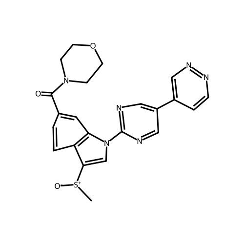 C[S+]([O-])c1cn(-c2ncc(-c3ccnnc3)cn2)c2cc(C(=O)N3CCOCC3)ccc12